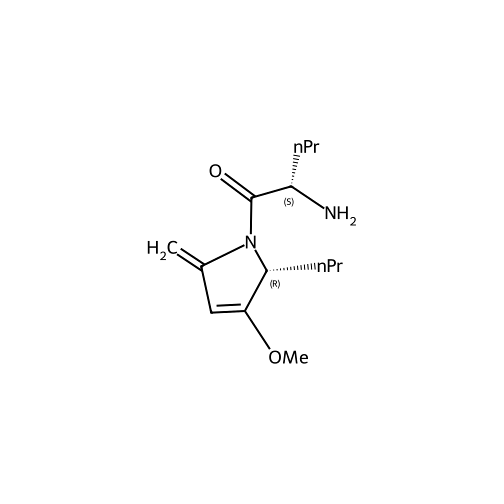 C=C1C=C(OC)[C@@H](CCC)N1C(=O)[C@@H](N)CCC